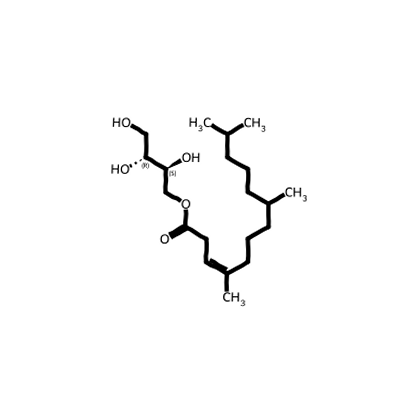 CC(=CCC(=O)OC[C@H](O)[C@H](O)CO)CCCC(C)CCCC(C)C